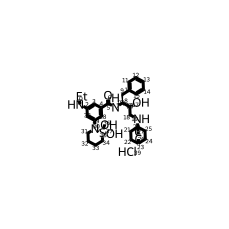 CCNc1cc(C(=O)N[C@@H](Cc2ccccc2)[C@@H](O)CNC23CCC(CC2)CC3)cc(N2CCCCS2(O)O)c1.Cl